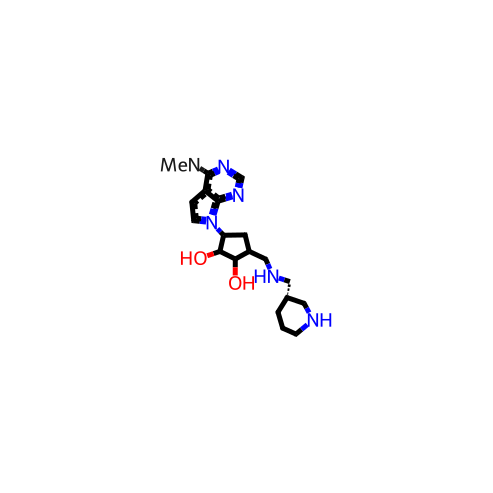 CNc1ncnc2c1ccn2C1CC(CNC[C@H]2CCCNC2)C(O)C1O